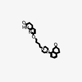 O=C1CCc2cccc(N3CCN(CCCCOc4ccc5c(n4)NC(=O)CC5)CC3)c2C1